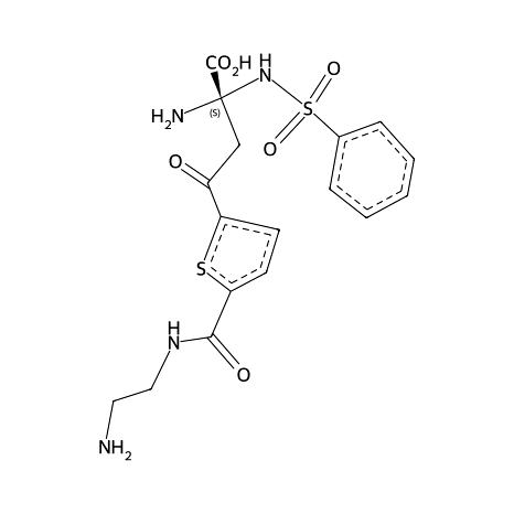 NCCNC(=O)c1ccc(C(=O)C[C@](N)(NS(=O)(=O)c2ccccc2)C(=O)O)s1